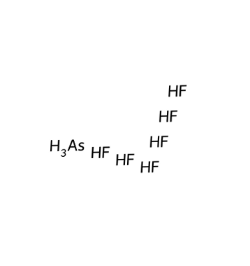 F.F.F.F.F.F.[AsH3]